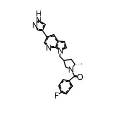 C[C@H]1CC(Cn2ccc3cc(-c4cn[nH]c4)cnc32)CN1C(=O)c1ccc(F)cc1